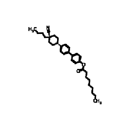 CCCCCCCCC(=O)Oc1ccc(-c2ccc([C@H]3CC[C@@](C#N)(CCCC)CC3)cc2)cc1